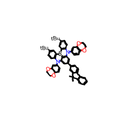 CC(C)(C)c1ccc2c(c1)B1c3cc(C(C)(C)C)ccc3N(c3ccc4c(c3)OCCO4)c3cc(-c4ccc5c(c4)C(C)(C)c4ccccc4-5)cc(c31)N2c1ccc2c(c1)OCCO2